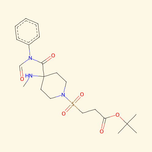 CNC1(C(=O)N(C=O)c2ccccc2)CCN(S(=O)(=O)CCC(=O)OC(C)(C)C)CC1